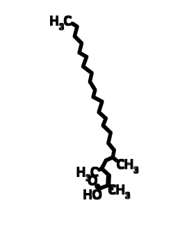 CCCCCCCCCCCCCCCCCCC(C)CC(C)C=C(C)C(=O)O